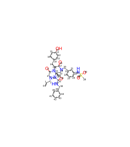 C=CCN1CC(=O)N2[C@@H](Cc3ccc(O)cc3)C(=O)N(Cc3cccc(NS(C)(=O)=O)c3)C[C@@H]2N1C(=O)NCc1ccccc1